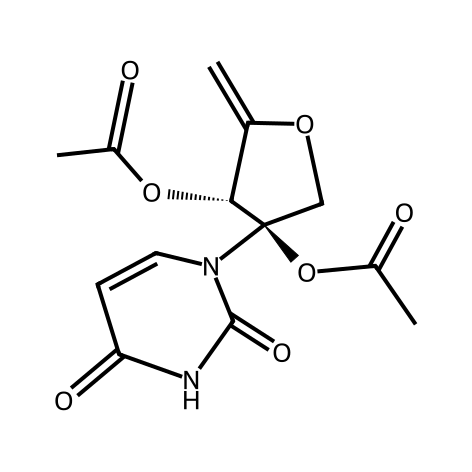 C=C1OC[C@](OC(C)=O)(n2ccc(=O)[nH]c2=O)[C@@H]1OC(C)=O